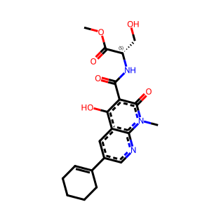 COC(=O)[C@H](CO)NC(=O)c1c(O)c2cc(C3=CCCCC3)cnc2n(C)c1=O